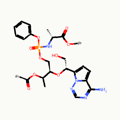 CC(C)OC(=O)[C@@H](C)NP(=O)(OC[C@@H](O[C@H](CO)c1ccc2c(N)ncnn12)C(C)OC(=O)C(C)C)Oc1ccccc1